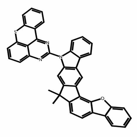 CC1(C)c2cc3c(cc2-c2c1ccc1c2oc2ccccc21)c1ccccc1n3-c1nc2c3c(cccc3n1)Sc1ccccc1-2